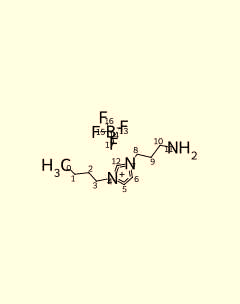 CCCC[n+]1ccn(CCCN)c1.F[B-](F)(F)F